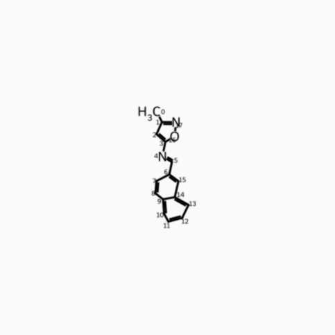 Cc1cc(/N=C/c2ccc3ccccc3c2)on1